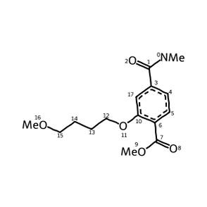 CNC(=O)c1ccc(C(=O)OC)c(OCCCCOC)c1